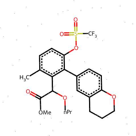 CCCOC(C(=O)OC)c1c(C)ccc(OS(=O)(=O)C(F)(F)F)c1-c1ccc2c(c1)CCCO2